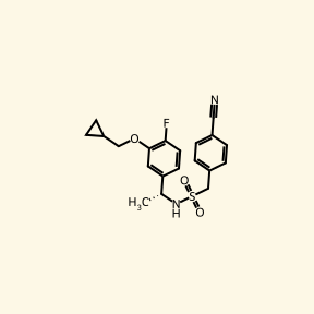 C[C@@H](NS(=O)(=O)Cc1ccc(C#N)cc1)c1ccc(F)c(OCC2CC2)c1